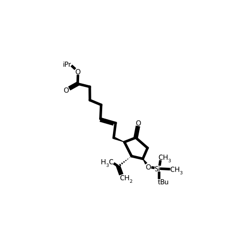 C=C(C)[C@H]1[C@H](O[Si](C)(C)C(C)(C)C)CC(=O)[C@@H]1C/C=C/CCCC(=O)OC(C)C